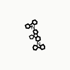 c1ccc2c(c1)c1ccccc1n2-c1ccc2c(c1)C1(CCCC1)c1cc(-n3c4ccccc4c4ccccc43)ccc1-2